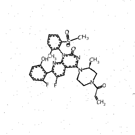 C=CC(=O)N1CCN(c2nc(=O)n(-c3c(C)cccc3S(C)(=O)=O)c3nc(-c4c(O)cccc4F)c(F)cc23)[C@@H](C)C1